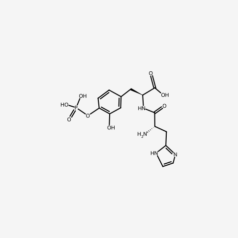 N[C@@H](Cc1ncc[nH]1)C(=O)N[C@@H](Cc1ccc(OP(=O)(O)O)c(O)c1)C(=O)O